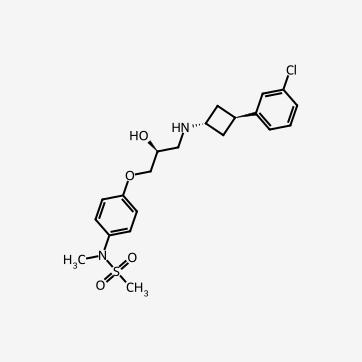 CN(c1ccc(OC[C@@H](O)CN[C@H]2C[C@H](c3cccc(Cl)c3)C2)cc1)S(C)(=O)=O